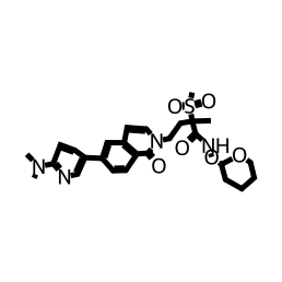 CN(C)c1ccc(-c2ccc3c(=O)n(CCC(C)(C(=O)NOC4CCCCO4)S(C)(=O)=O)ccc3c2)cn1